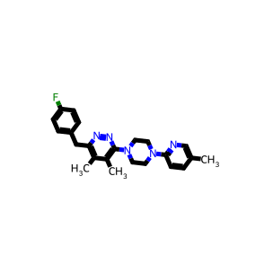 Cc1ccc(N2CCN(c3nnc(Cc4ccc(F)cc4)c(C)c3C)CC2)nc1